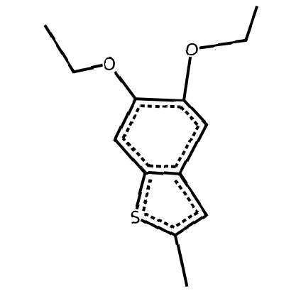 CCOc1cc2cc(C)sc2cc1OCC